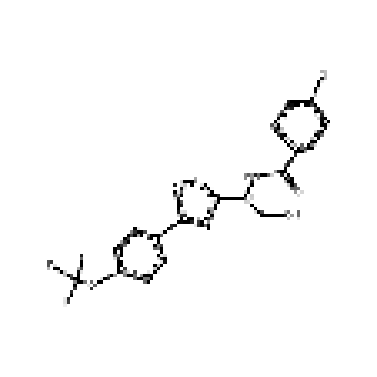 O=C(N[C@@H](CO)c1nc(-c2ccc(OC(F)(F)F)cc2)no1)c1ccc(Cl)cc1